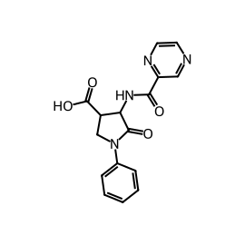 O=C(NC1C(=O)N(c2ccccc2)CC1C(=O)O)c1cnccn1